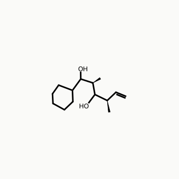 C=C[C@@H](C)C(O)[C@H](C)C(O)C1CCCCC1